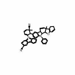 CC1(C#N)C=CC=C(n2c3ccccc3c3cc(C#N)ccc32)C1c1ccc2c(c1)C1C=CC3(C)C4=C(C=CCC4)OC3C1N2c1ccccc1